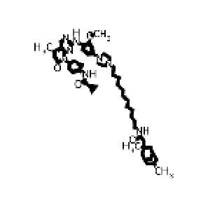 COc1cc(N2CCN(CCCCCCCCCCCCNC(=O)CC3(C)CC4CC(C)CC(C4)C3)CC2)ccc1Nc1ncc2c(C)cc(=O)n(-c3ccc(NC(=O)C4CC4)cc3)c2n1